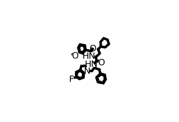 COc1cccc(C(=O)NC(CCC2CCCCC2)C(=O)NC(Cc2ccccc2)CN2CCc3cc(F)ccc32)c1